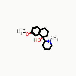 COc1ccc2c(c1)C(O)(C1CCCCN1C)CCC2